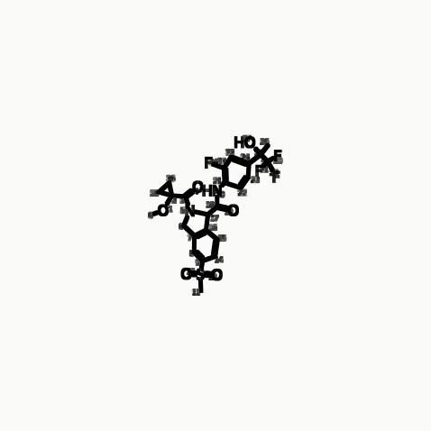 COC1(C(=O)N2Cc3cc(S(C)(=O)=O)ccc3C2C(=O)Nc2ccc(C(C)(O)C(F)(F)F)cc2F)CC1